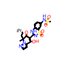 CC(C)CCC1(C)C(=O)C(C2=NS(=O)(=O)c3cc(NS(C)(=O)=O)ccc3N2)=C(O)c2ccnn21